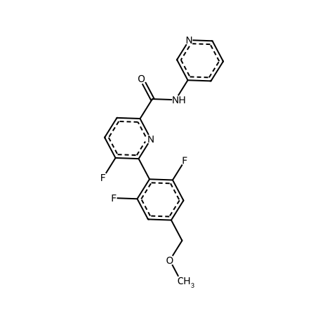 COCc1cc(F)c(-c2nc(C(=O)Nc3cccnc3)ccc2F)c(F)c1